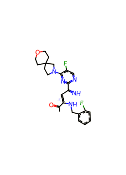 CC(=O)/C(=C/C(=N)c1ncc(F)c(N2CCC3(CCOCC3)C2)n1)NCc1ccccc1F